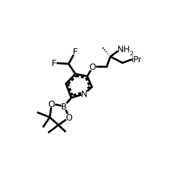 CC(C)C[C@](C)(N)COc1cnc(B2OC(C)(C)C(C)(C)O2)cc1C(F)F